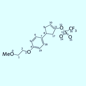 COCCOc1ccc(C2CC=C(OS(=O)(=O)C(F)(F)F)C2)cc1